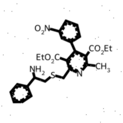 CCOC(=O)c1c(C)nc(CSCC(N)c2ccccc2)c(C(=O)OCC)c1-c1cccc([N+](=O)[O-])c1